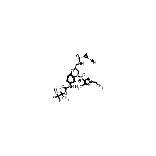 CCn1cc(S(=O)(=O)N2C[C@H](CNC(=O)[C@@H]3C[C@@H]3C#N)Oc3ccc(NC(=O)OC(C)(C)C(F)(F)F)cc32)c(C)n1